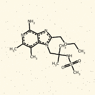 CCOCc1nc2c(N)nc(C)c(C)c2n1CC(C)(C)NS(C)(=O)=O